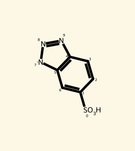 O=S(=O)(O)c1ccc2c(c1)[N]N=N2